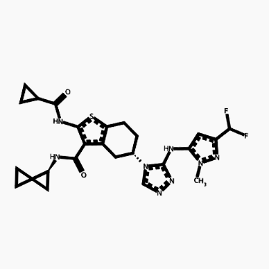 Cn1nc(C(F)F)cc1Nc1nncn1[C@H]1CCc2sc(NC(=O)C3CC3)c(C(=O)N[C@H]3CC34CC4)c2C1